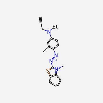 C#CCN(CC)c1ccc(/N=N/c2sc3ccccc3[n+]2C)c(C)c1